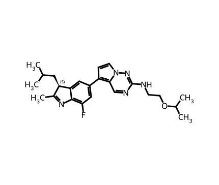 CC1=Nc2c(F)cc(-c3ccn4nc(NCCOC(C)C)ncc34)cc2[C@@H]1CC(C)C